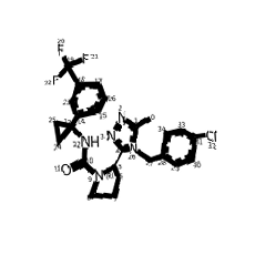 Cc1nnc([C@H]2CCCN2C(=O)NC2(c3cccc(C(F)(F)F)c3)CC2)n1Cc1ccc(Cl)cc1